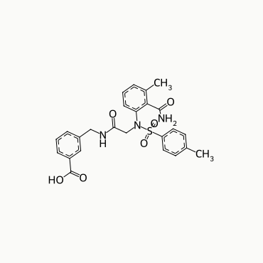 Cc1ccc(S(=O)(=O)N(CC(=O)NCc2cccc(C(=O)O)c2)c2cccc(C)c2C(N)=O)cc1